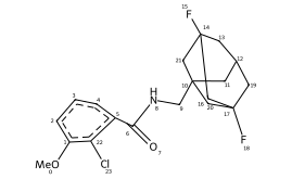 COc1cccc(C(=O)NCC23CC4CC(F)(CC(F)(C4)C2)C3)c1Cl